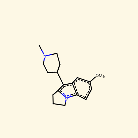 COc1ccc2c(c1)c(C1CCN(C)CC1)c1n2CCC1